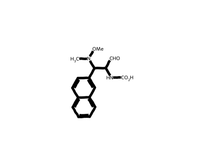 CON(C)C(c1ccc2ccccc2c1)C(C=O)NC(=O)O